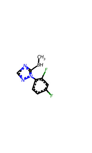 CBc1ncnn1-c1ccc(F)cc1F